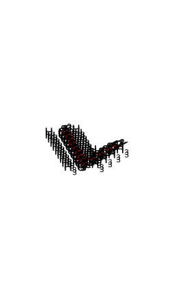 CN(C)C(=S)SSC(=S)N(C)C.CN(C)C(=S)SSC(=S)N(C)C.CN(C)C(=S)SSC(=S)N(C)C.CN(C)C(=S)SSC(=S)N(C)C.CN(C)C(=S)SSC(=S)N(C)C.CN(C)C(=S)SSC(=S)N(C)C.CN(C)C(=S)SSC(=S)N(C)C.CN(C)C(=S)SSC(=S)N(C)C.CN(C)C(=S)SSC(=S)N(C)C.CN(C)C(=S)SSC(=S)N(C)C.CN(C)C(=S)SSC(=S)N(C)C.CN(C)C(=S)SSC(=S)N(C)C.[S-2].[S-2].[S-2].[S-2].[S-2].[S-2]